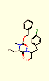 CC(C)C[C@@H](C(=O)NC(CO)Cc1ccc(Cl)cc1)N(C)C(=O)OCc1ccccc1